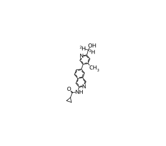 [2H]C([2H])(O)c1cc(C)c(-c2ccc3cc(NC(=O)C4CC4)ncc3c2)cn1